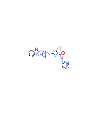 O=C(NCc1cccnn1)c1nc(CCNCc2nc3ccccc3[nH]2)sc1Cl